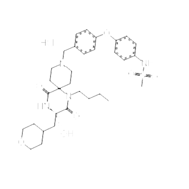 CCCCN1C(=O)[C@@H]([C@H](O)C2CCOCC2)NC(=O)C12CCN(Cc1ccc(Oc3ccc(NS(C)(=O)=O)cc3)cc1)CC2.Cl